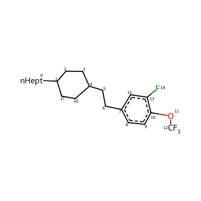 CCCCCCCC1CCC(CCc2ccc(OC(F)(F)F)c(F)c2)CC1